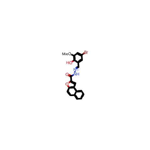 COc1cc(Br)cc(/C=N/NC(=O)c2cc3c(ccc4ccccc43)o2)c1O